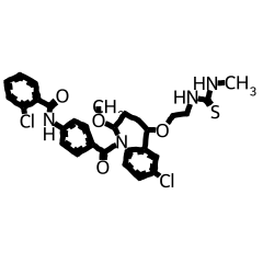 CNC(=S)NCCOC1CCC(OC)N(C(=O)c2ccc(NC(=O)c3ccccc3Cl)cc2)c2ccc(Cl)cc21